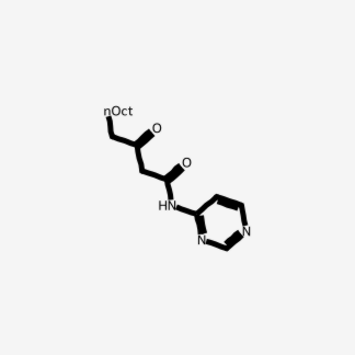 CCCCCCCCCC(=O)CC(=O)Nc1ccncn1